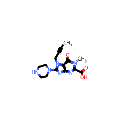 CC#CCn1c(N2CCNCC2)nc2nc(C(=O)O)n(C)c(=O)c21